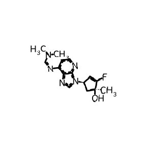 CN(C)/C=N\c1ccnc2c1ncn2[C@H]1C=C(F)[C@@](C)(O)C1